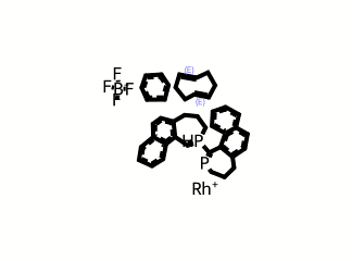 C1=C/CC/C=C/CC/1.C1=[PH](C2=PCCCc3ccc4ccccc4c32)CCCc2ccc3ccccc3c21.F[B-](F)(F)F.[Rh+].c1ccccc1